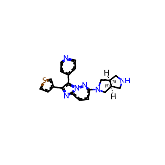 c1cc(-c2c(-c3ccsc3)nc3ccc(N4C[C@H]5CNC[C@H]5C4)nn23)ccn1